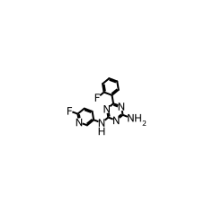 Nc1nc(Nc2ccc(F)nc2)nc(-c2ccccc2F)n1